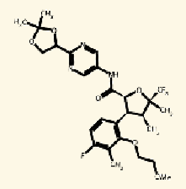 COCCOc1c([C@H]2[C@@H](C(=O)Nc3cnc(C4COC(C)(C)O4)nc3)O[C@@](C)(C(F)(F)F)[C@H]2C)ccc(F)c1C